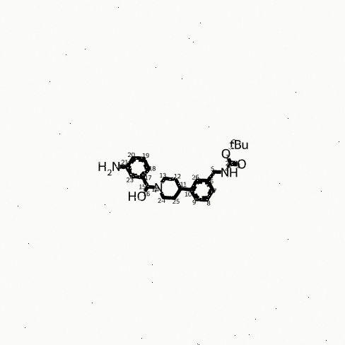 CC(C)(C)OC(=O)NCc1cccc(C2CCN(C(O)c3cccc(N)c3)CC2)c1